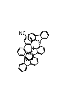 N#Cc1ccc(-n2c3ccccc3c3cccc(-n4c5ccccc5c5ccccc54)c32)c(-c2cccc(-n3c4ccccc4c4cccc(C#N)c43)c2)c1